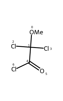 COC(Cl)(Cl)C(=O)Cl